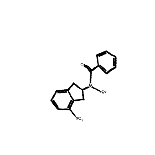 CCCN(C(=O)c1ccccc1)C1Cc2cccc([N+](=O)[O-])c2C1